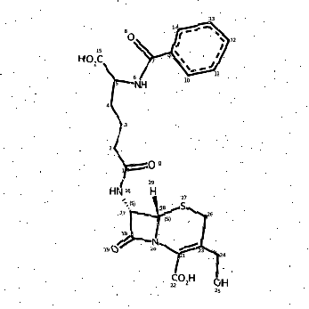 O=C(CCCC(NC(=O)c1ccccc1)C(=O)O)N[C@H]1C(=O)N2C(C(=O)O)=C(CO)CS[C@@H]12